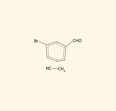 CC#N.O=Cc1cccc(Br)c1